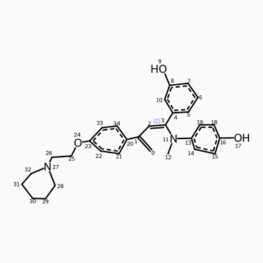 C=C(/C=C(/c1cccc(O)c1)N(C)c1ccc(O)cc1)c1ccc(OCCN2CCCCC2)cc1